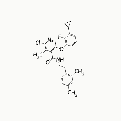 Cc1ccc(CCNC(=O)c2c(Oc3cccc(C4CC4)c3F)cnc(Cl)c2C)c(C)c1